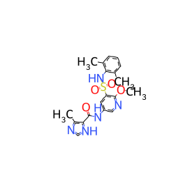 COc1ncc(NC(=O)c2[nH]cnc2C)cc1S(=O)(=O)Nc1c(C)cccc1C